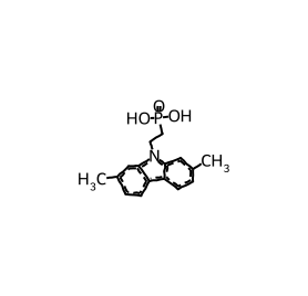 Cc1ccc2c3ccc(C)cc3n(CCP(=O)(O)O)c2c1